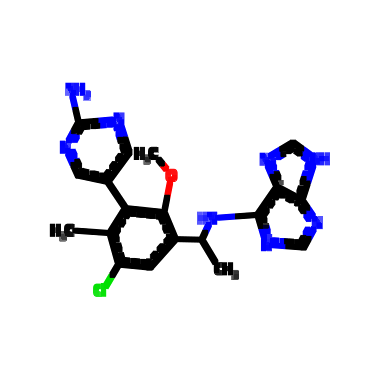 COc1c(C(C)Nc2ncnc3[nH]cnc23)cc(Cl)c(C)c1-c1cnc(N)nc1